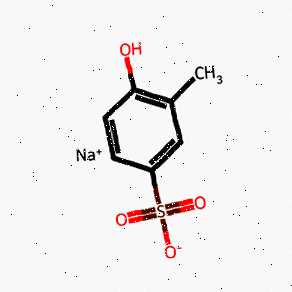 Cc1cc(S(=O)(=O)[O-])ccc1O.[Na+]